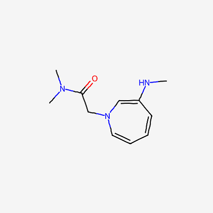 CNC1=CN(CC(=O)N(C)C)C=CC=C1